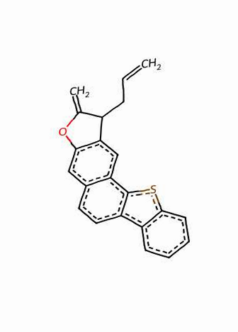 C=CCC1C(=C)Oc2cc3ccc4c5ccccc5sc4c3cc21